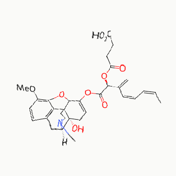 C=C(/C=C\C=C/C)[C@H](OC(=O)CCC(=O)O)C(=O)OC1=CC[C@@]2(O)[C@H]3Cc4ccc(OC)c5c4C2(CCN3C)C1O5